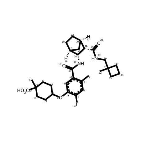 Cc1cc(F)c(OC2CCC(C)(C(=O)O)CC2)cc1C(=O)N[C@@H]1[C@H]2CC[C@H](C2)[C@@H]1C(=O)NCC1(C)CCC1